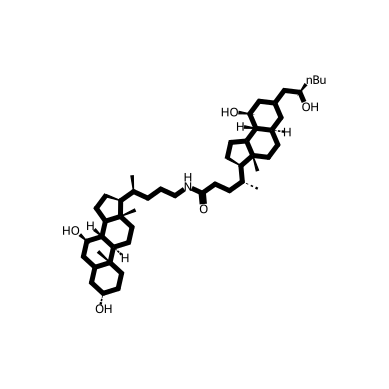 CCCC[C@@H](O)CC1C[C@H]2CC[C@@]3(C)C(CC[C@@H]3[C@H](C)CCC(=O)NCCC[C@H](C)[C@@H]3CCC4[C@H]5[C@H](O)CC6C[C@@H](O)CC[C@@]6(C)[C@@H]5CC[C@]43C)[C@@H]2[C@@H](O)C1